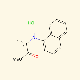 COC(=O)[C@H](C)Nc1cccc2ccccc12.Cl